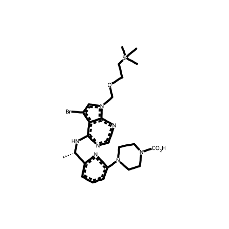 C[C@H](Nc1ncnc2c1c(Br)cn2COCC[Si](C)(C)C)c1cccc(N2CCN(C(=O)O)CC2)n1